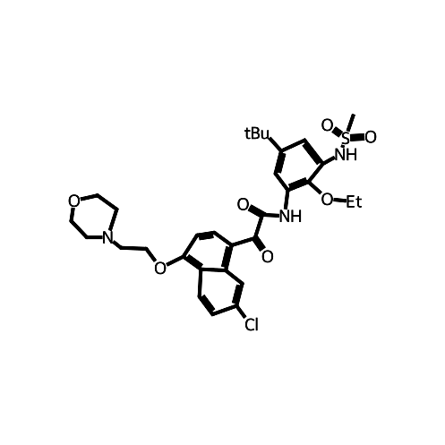 CCOc1c(NC(=O)C(=O)c2ccc(OCCN3CCOCC3)c3ccc(Cl)cc23)cc(C(C)(C)C)cc1NS(C)(=O)=O